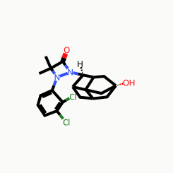 CC1(C)C(=O)N([C@H]2C3CC4CC2C[C@](O)(C4)C3)N1c1cccc(Cl)c1Cl